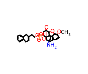 COc1ccc2c3c1OC1C(=O)CCC4(OP(=O)(O)OCCC5=CCc6ccccc6C5)C(C2)C(N)CCC314